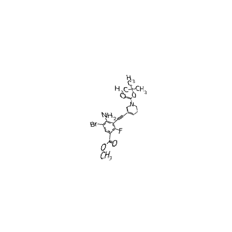 COC(=O)c1cc(Br)c(N)c(C#CC2=CCCN(C(=O)OC(C)(C)C)C2)c1F